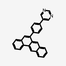 c1ccc2cc3c(cc2c1)c(-c1ccc(-c2cncnc2)cc1)cc1ccccc13